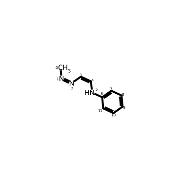 C/N=N\C=C/Nc1ccccc1